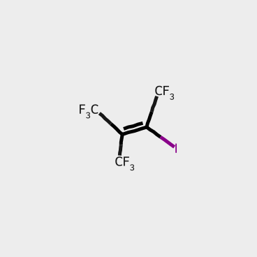 FC(F)(F)C(I)=C(C(F)(F)F)C(F)(F)F